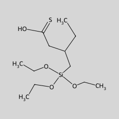 CCO[Si](CC(CC)CC(O)=S)(OCC)OCC